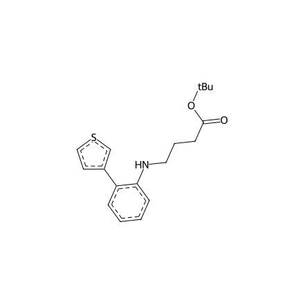 CC(C)(C)OC(=O)CCCNc1ccccc1-c1ccsc1